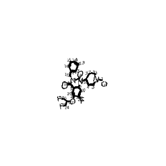 O=CN1CCC(n2c(=O)n(Cc3ccccc3)c(=O)c3cc(OC(CF)CF)c(F)cc32)CC1